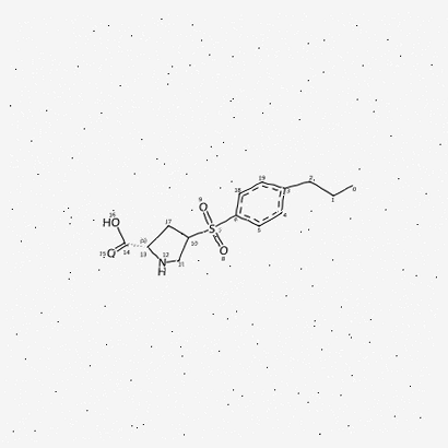 CCCc1ccc(S(=O)(=O)C2CN[C@H](C(=O)O)C2)cc1